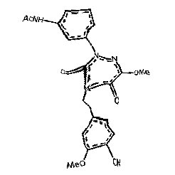 COc1cc(Cn2c(=O)c(OC)nn(-c3cccc(NC(C)=O)c3)c2=O)ccc1C#N